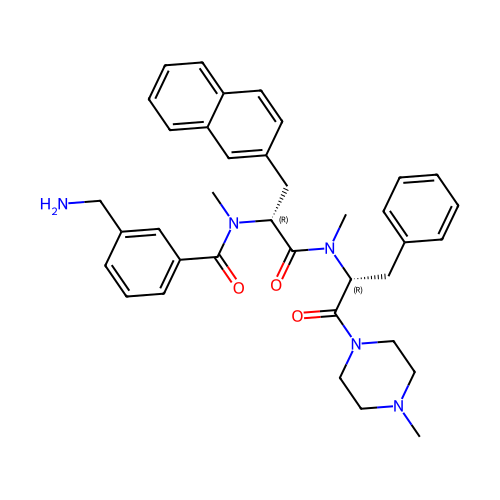 CN1CCN(C(=O)[C@@H](Cc2ccccc2)N(C)C(=O)[C@@H](Cc2ccc3ccccc3c2)N(C)C(=O)c2cccc(CN)c2)CC1